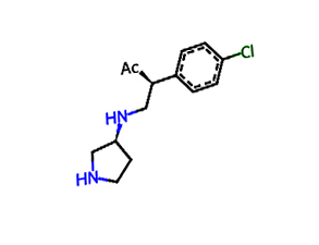 CC(=O)[C@H](CN[C@H]1CCNC1)c1ccc(Cl)cc1